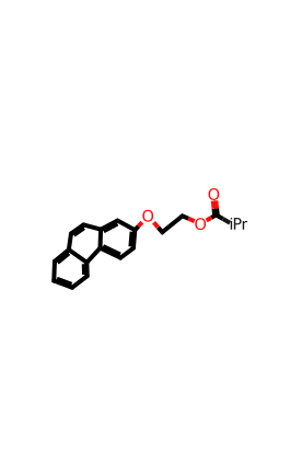 CC(C)C(=O)OCCOc1ccc2c(ccc3ccccc32)c1